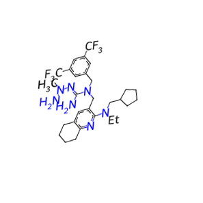 CCN(CC1CCCC1)c1nc2c(cc1CN(Cc1cc(C(F)(F)F)cc(C(F)(F)F)c1)/C(N)=N/N(C)N)CCCC2